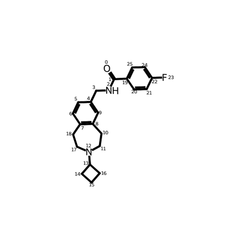 O=C(NCc1ccc2c(c1)CCN(C1CCC1)CC2)c1ccc(F)cc1